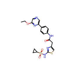 CCOc1cncc(-c2ccc(NC(=O)Cc3csc(NS(=O)(=O)C4CC4)n3)cc2)n1